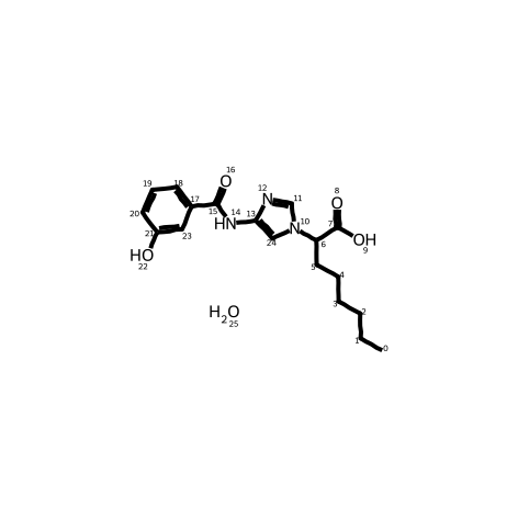 CCCCCCC(C(=O)O)n1cnc(NC(=O)c2cccc(O)c2)c1.O